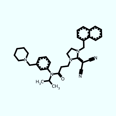 CC(C)N(C(=O)CCN1CCN(Cc2cccc3ccccc23)C1=C(C#N)C#N)c1cccc(CN2CCCCC2)c1